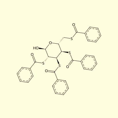 O=C(SC[C@H]1O[C@H](O)[C@@H](SC(=O)c2ccccc2)[C@H](SC(=O)c2ccccc2)[C@@H]1SC(=O)c1ccccc1)c1ccccc1